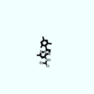 CCC(CC)Nc1cc(C)nn2c(-c3c(C)cc(C)cc3C)cnc12